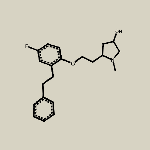 CN1CC(O)CC1CCOc1ccc(F)cc1CCc1ccccc1